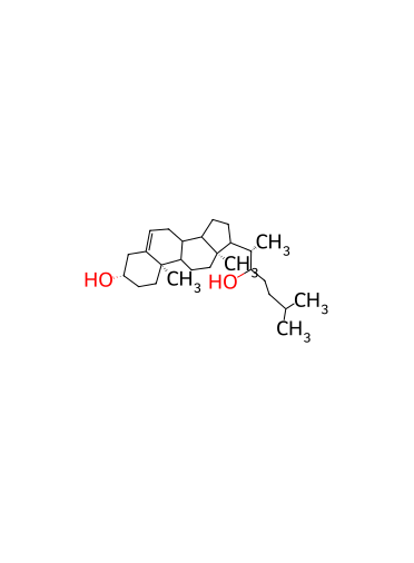 CC(C)CCC(O)[C@@H](C)C1CCC2C3CC=C4C[C@@H](O)CC[C@]4(C)C3CC[C@@]21C